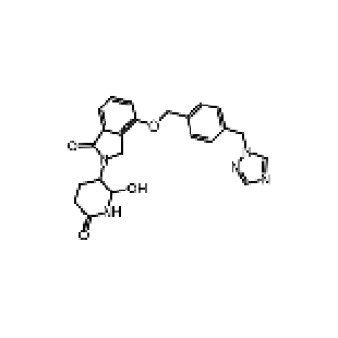 O=C1CCC(N2Cc3c(OCc4ccc(Cn5cncn5)cc4)cccc3C2=O)C(O)N1